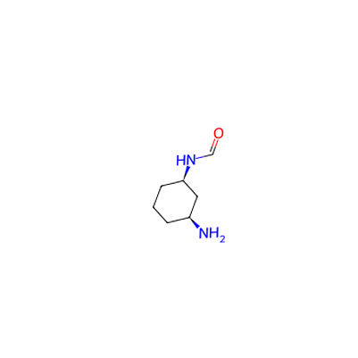 N[C@H]1CCC[C@@H](NC=O)C1